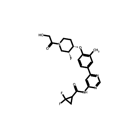 Cc1cc(-c2cc(NC(=O)C3CC3(F)F)ncn2)ccc1O[C@H]1CCN(C(=O)CO)C[C@H]1F